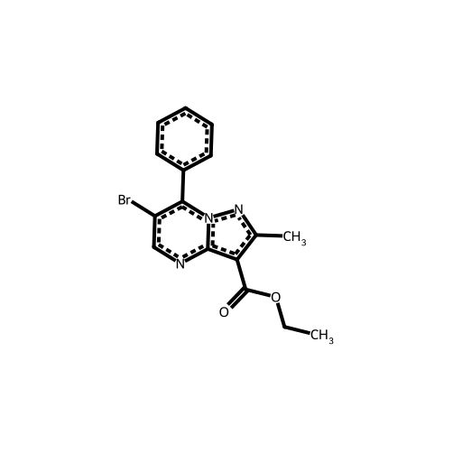 CCOC(=O)c1c(C)nn2c(-c3ccccc3)c(Br)cnc12